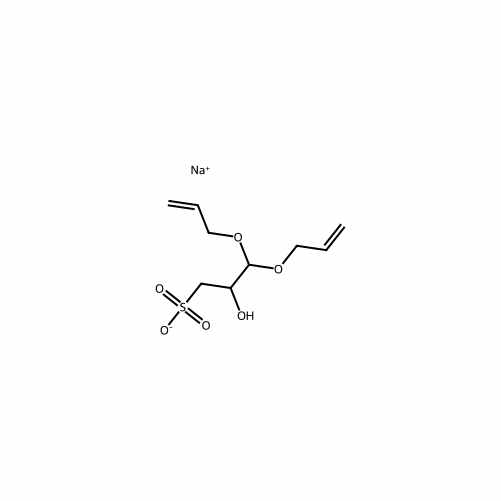 C=CCOC(OCC=C)C(O)CS(=O)(=O)[O-].[Na+]